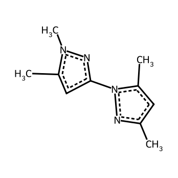 Cc1cc(C)n(-c2cc(C)n(C)n2)n1